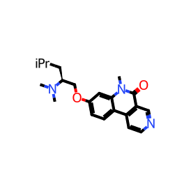 CC(C)C[C@@H](COc1ccc2c3ccncc3c(=O)n(C)c2c1)N(C)C